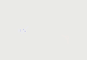 CC=C(N)c1ccc(OC)cc1